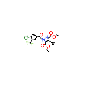 CCOC(=O)c1nn(CC(=O)c2ccc(Cl)c(C(F)F)c2)c(C(=O)OCC)c1C1CC1